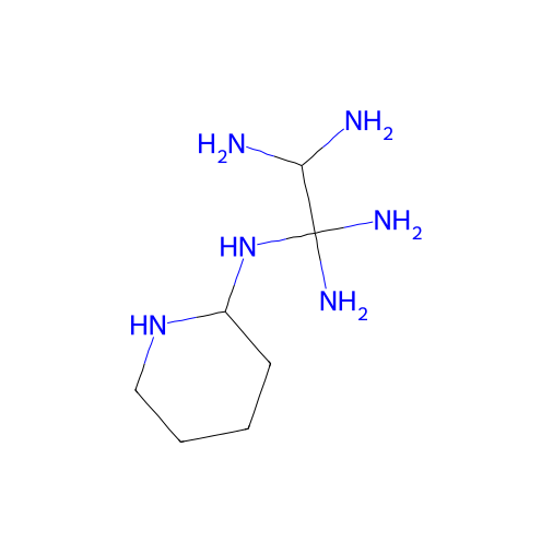 NC(N)C(N)(N)NC1CCCCN1